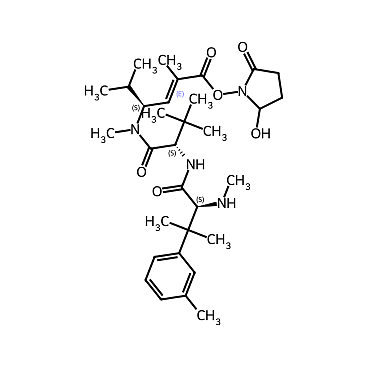 CN[C@H](C(=O)N[C@H](C(=O)N(C)[C@H](/C=C(\C)C(=O)ON1C(=O)CCC1O)C(C)C)C(C)(C)C)C(C)(C)c1cccc(C)c1